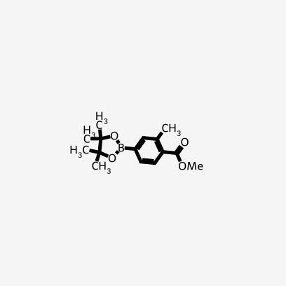 COC(=O)c1ccc(B2OC(C)(C)C(C)(C)O2)cc1C